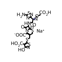 Nc1nc(/C(=N\OCC(=O)O)C(=O)NC2C(=O)N3C(C(=O)[O-])=C(CSc4snc(O)c4C(=O)O)CS[C@H]23)ns1.[Na+]